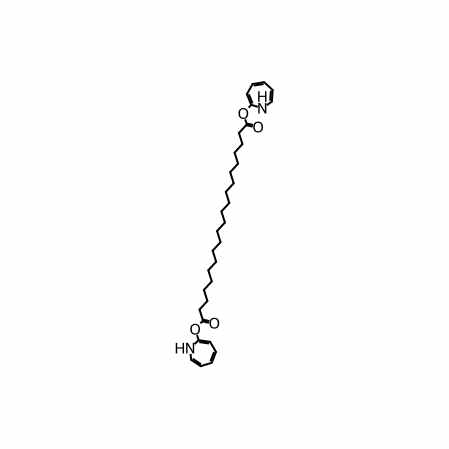 O=C(CCCCCCCCCCCCCCCCCCCC(=O)OC1=CC=CC=CN1)OC1=CC=CC=CN1